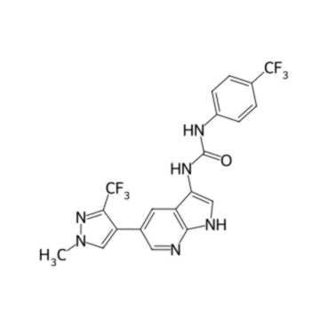 Cn1cc(-c2cnc3[nH]cc(NC(=O)Nc4ccc(C(F)(F)F)cc4)c3c2)c(C(F)(F)F)n1